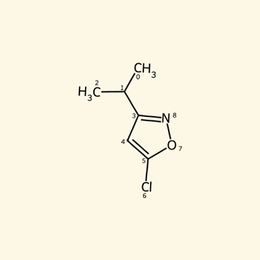 CC(C)c1cc(Cl)on1